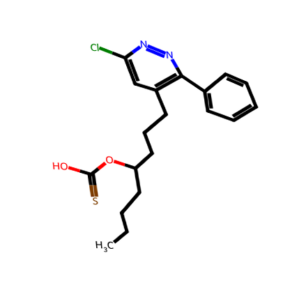 CCCCC(CCCc1cc(Cl)nnc1-c1ccccc1)OC(O)=S